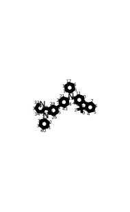 CC1(C)c2ccccc2-c2ccc(N(c3ccccc3)c3ccc(-c4ccc5c(c4)c4ncccc4n5-c4ccccc4)cc3)cc21